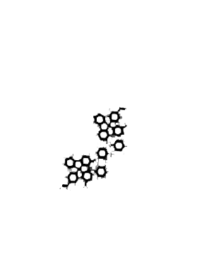 C=Cc1ccc(C2(c3cc(C)ccc3C)c3ccccc3-c3ccc(N(c4ccc(N(c5ccc6c(c5)C(c5ccc(C=C)cc5)(c5cc(C)ccc5C)c5ccccc5-6)c5c(F)cccc5F)cc4)c4c(F)cccc4F)cc32)cc1